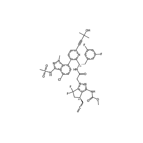 C=C=C[C@H]1CC(F)(F)c2c1c(NC(=O)OC)nn2CC(=O)N[C@@H](Cc1cc(F)cc(F)c1)c1nc(C#CC(C)(C)O)ccc1-c1ccc(Cl)c2c(NS(C)(=O)=O)nn(C)c12